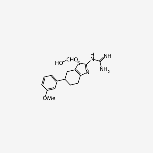 COc1cccc(C2CCc3nc(NC(=N)N)sc3C2)c1.O=CO